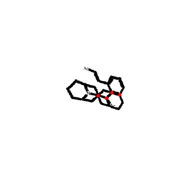 CC(=O)/C=C/c1ccccc1N(C(C)=O)C1CC2CCCC(C1)N2C1CC2CCCC(C2)C1